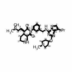 CC(C)c1cnn2c(NCc3cccc(N(C(=O)C=CCN(C)C)C(=O)C4CCCNC4)c3)nc(OC3CCN(C)CC3)nc12